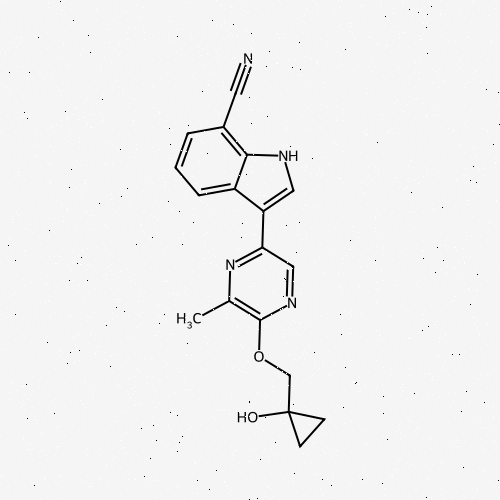 Cc1nc(-c2c[nH]c3c(C#N)cccc23)cnc1OCC1(O)CC1